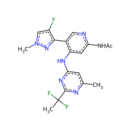 CC(=O)Nc1cc(Nc2cc(C)nc(C(C)(F)F)n2)c(-c2nn(C)cc2F)cn1